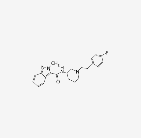 Cn1nc2ccccc2c1C(=O)NC1CCCN(CCc2ccc(F)cc2)C1